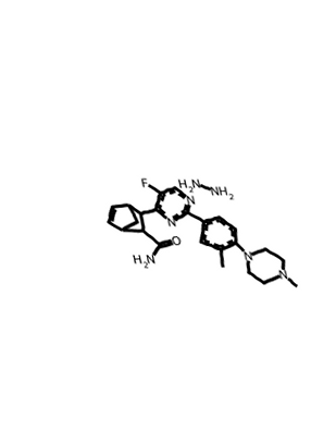 Cc1cc(-c2ncc(F)c(C3C4C=CC(C4)C3C(N)=O)n2)ccc1N1CCN(C)CC1.NN